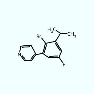 CC(C)c1cc(F)cc(-c2ccncc2)c1Br